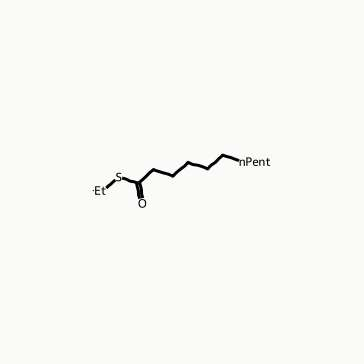 C[CH]SC(=O)CCCCCCCCCC